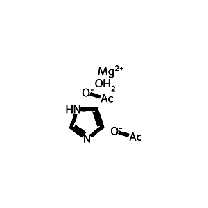 CC(=O)[O-].CC(=O)[O-].O.[Mg+2].c1c[nH]cn1